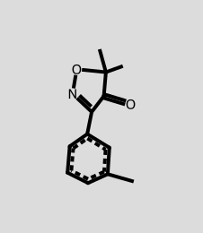 Cc1cccc(C2=NOC(C)(C)C2=O)c1